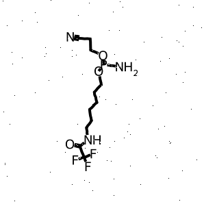 N#CCCOP(N)OCCCCCCNC(=O)C(F)(F)F